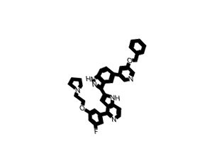 Fc1cc(OCCN2CCCC2)cc(-c2nccc3[nH]c(-c4n[nH]c5ccc(-c6cncc(OCc7ccccc7)c6)cc45)cc23)c1